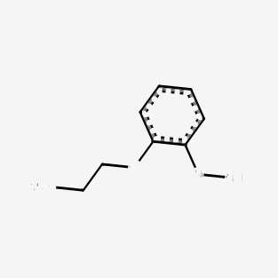 CSCCOc1ccccc1NN